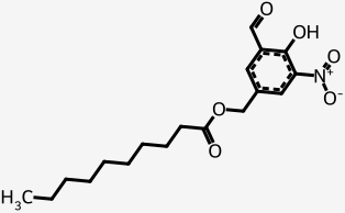 CCCCCCCCCC(=O)OCc1cc(C=O)c(O)c([N+](=O)[O-])c1